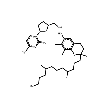 Cc1c(O)cc2c(c1C)OC(C)(CCCC(C)CCCC(C)CCCC(C)C)CC2.Nc1ccn([C@H]2CC[C@@H](CO)O2)c(=O)n1